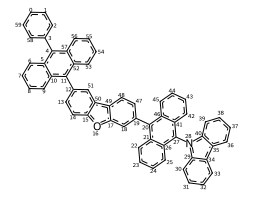 c1ccc(-c2c3ccccc3c(-c3ccc4oc5cc(-c6c7ccccc7c(-n7c8ccccc8c8ccccc87)c7ccccc67)ccc5c4c3)c3ccccc23)cc1